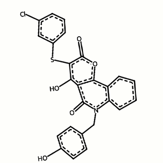 O=c1oc2c(c(O)c1Sc1cccc(Cl)c1)c(=O)n(Cc1ccc(O)cc1)c1ccccc21